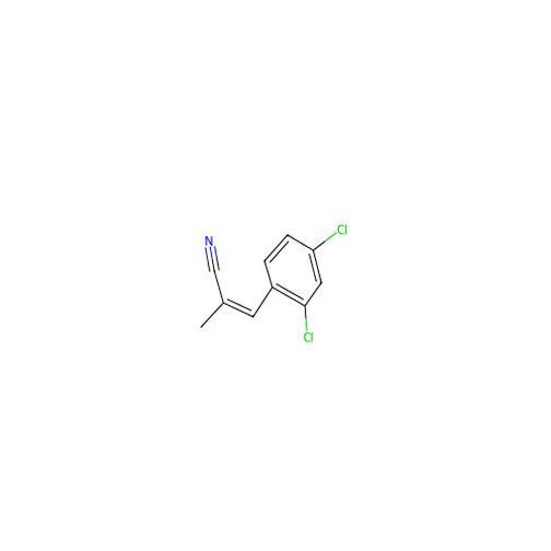 CC(C#N)=Cc1ccc(Cl)cc1Cl